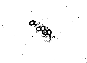 CCC[C@@H](C)C1CC[C@H]2[C@@H]3CC[C@@H]4C[C@H](OC(=O)c5ccccc5)CC[C@]4(C)C3C[C@H](O)[C@]12C